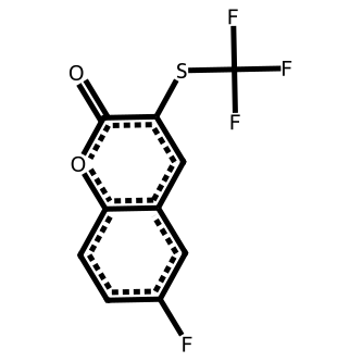 O=c1oc2ccc(F)cc2cc1SC(F)(F)F